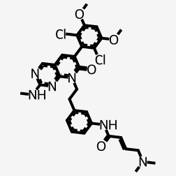 CNc1ncc2cc(-c3c(Cl)c(OC)cc(OC)c3Cl)c(=O)n(CCc3cccc(NC(=O)/C=C/CN(C)C)c3)c2n1